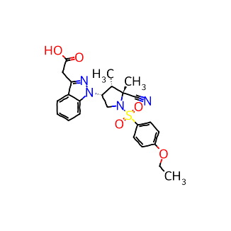 CCOc1ccc(S(=O)(=O)N2C[C@H](n3nc(CC(=O)O)c4ccccc43)[C@H](C)[C@]2(C)C#N)cc1